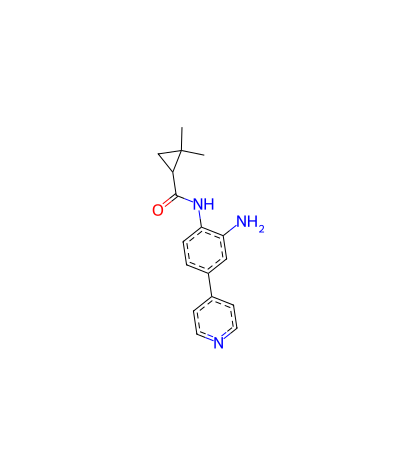 CC1(C)CC1C(=O)Nc1ccc(-c2ccncc2)cc1N